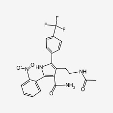 CC(=O)NCCc1c(-c2ccc(C(F)(F)F)cc2)[nH]c(-c2ccccc2[N+](=O)[O-])c1C(N)=O